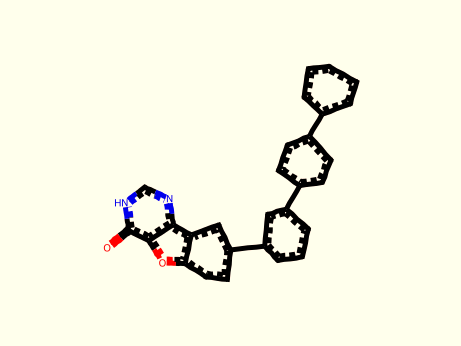 O=c1[nH]cnc2c1oc1ccc(-c3cccc(-c4ccc(-c5ccccc5)cc4)c3)cc12